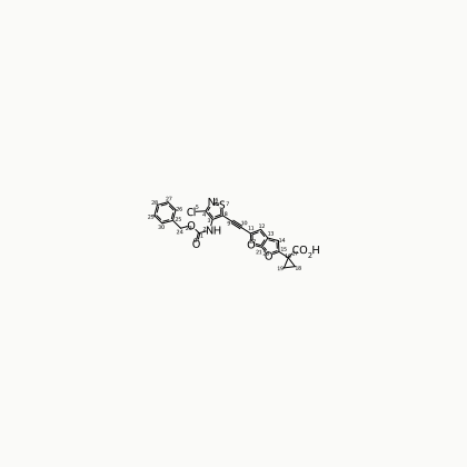 O=C(Nc1c(Cl)nsc1C#Cc1cc2cc(C3(C(=O)O)CC3)oc2o1)OCc1ccccc1